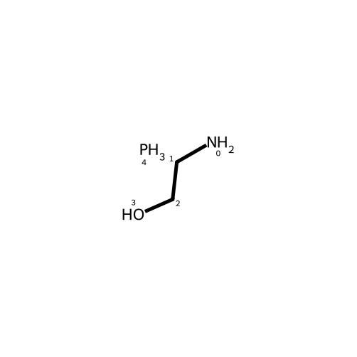 NCCO.P